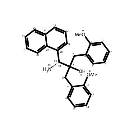 COc1ccccc1CC(O)(Cc1ccccc1OC)[C@H](N)c1cccc2ccccc12